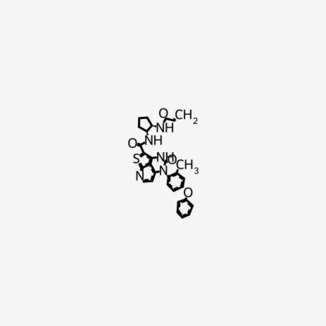 C=CC(=O)N[C@@H]1CCC[C@@H]1NC(=O)c1sc2nccc3c2c1NC(=O)N3c1ccc(Oc2ccccc2)cc1C